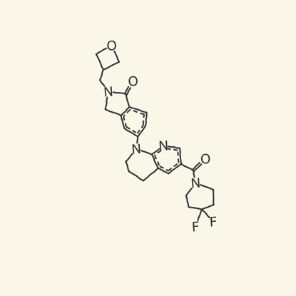 O=C(c1cnc2c(c1)CCCN2c1ccc2c(c1)CN(CC1COC1)C2=O)N1CCC(F)(F)CC1